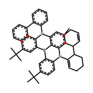 Cc1cc2c3c(c1)N(c1ccccc1-c1ccccc1)c1ccc(C(C)(C)C)cc1B3c1cc(C(C)(C)C)ccc1N2C1=CCCCC1C1C=CCCC1